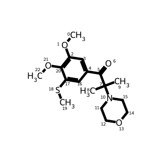 COc1cc(C(=O)C(C)(C)N2CCOCC2)cc(SC)c1OC